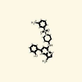 Bc1cnn2c(NC3CCN(S(=O)(=O)c4cccc(N)c4)CC3)cc(-c3ccccc3Cl)nc12